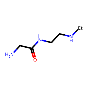 CCNCCNC(=O)CN